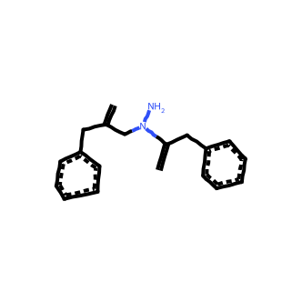 C=C(Cc1ccccc1)CN(N)C(=C)Cc1ccccc1